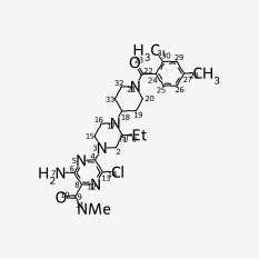 CC[C@H]1CN(c2nc(N)c(C(=O)NC)nc2Cl)CCN1C1CCN(C(=O)c2ccc(C)cc2C)CC1